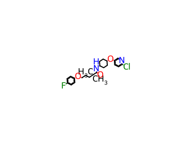 CC(C)(CCCOc1ccc(F)cc1)C(=O)N[C@H]1CC[C@H](Oc2ccc(Cl)nc2)CC1